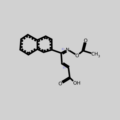 CC(=O)O/N=C(\C=C\C(=O)O)c1ccc2ccccc2c1